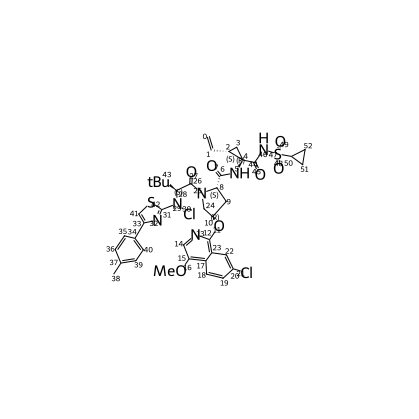 C=C[C@@H]1C[C@]1(NC(=O)[C@@H]1C[C@@H](Oc2ncc(OC)c3ccc(Cl)cc23)CN1C(=O)[C@@H](N(Cl)c1nc(-c2ccc(C)cc2)cs1)C(C)(C)C)C(=O)NS(=O)(=O)C1CC1